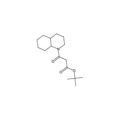 CC(C)(C)OC(=O)[CH]C(=O)N1CCCC2CCCCC21